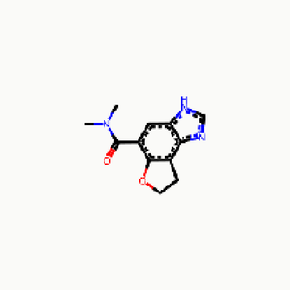 CN(C)C(=O)c1cc2[nH]cnc2c2c1OCC2